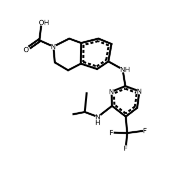 CC(C)Nc1nc(Nc2ccc3c(c2)CCN(C(=O)O)C3)ncc1C(F)(F)F